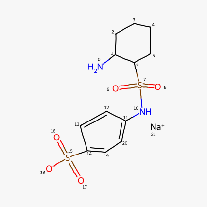 NC1CCCCC1S(=O)(=O)Nc1ccc(S(=O)(=O)[O-])cc1.[Na+]